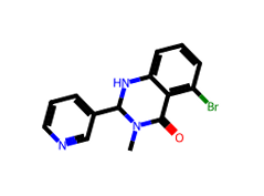 CN1C(=O)c2c(Br)cccc2NC1c1cccnc1